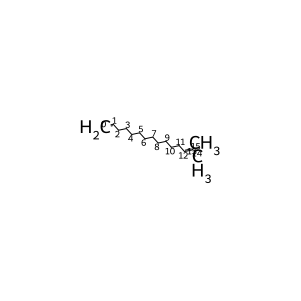 C=CCCCCCCCCCCC=C(C)C